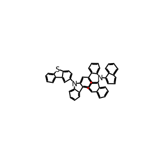 c1ccc(N(c2cccc3ccccc23)c2cccc3ccccc23)c(-c2ccc3c4ccccc4n(-c4ccc5sc6ccccc6c5c4)c3c2)c1